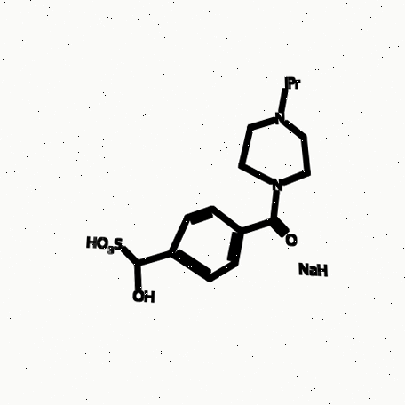 CC(C)N1CCN(C(=O)c2ccc(C(O)S(=O)(=O)O)cc2)CC1.[NaH]